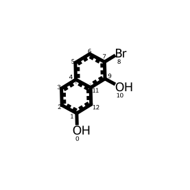 Oc1ccc2ccc(Br)c(O)c2c1